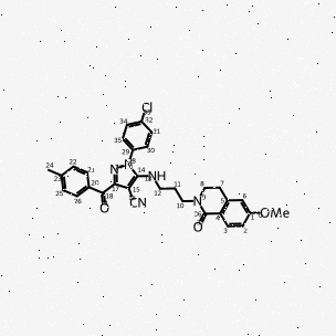 COc1ccc2c(c1)CCN(CCCNc1c(C#N)c(C(=O)c3ccc(C)cc3)nn1-c1ccc(Cl)cc1)C2=O